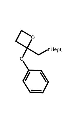 CCCCCCCCC1(Oc2ccccc2)CCO1